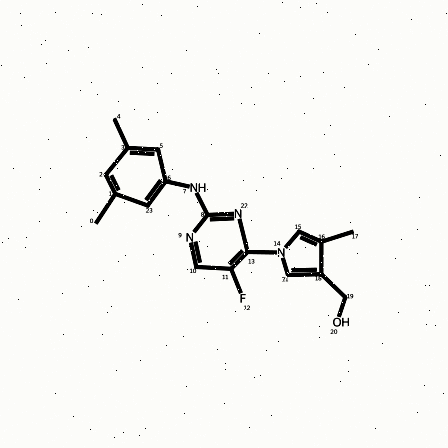 Cc1cc(C)cc(Nc2ncc(F)c(-n3cc(C)c(CO)c3)n2)c1